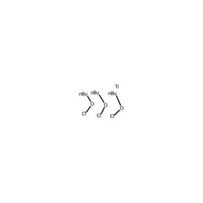 CCCCOCl.CCCCOCl.CCCCOCl.[Ti]